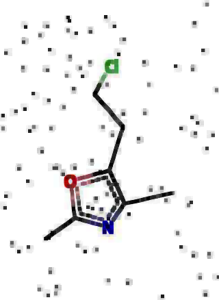 Cc1nc(C)c(CCCl)o1